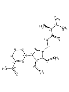 C=C[C@@H]1[C@H](C=C)[C@@H](COC(=O)[C@@H](N)C(C)C)O[C@H]1N1C=CCC(C(=O)O)=C1